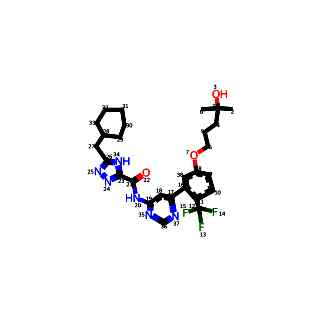 CC(C)(O)CCCOc1ccc(C(F)(F)F)c(-c2cc(NC(=O)c3nnc(CC4CCCCC4)[nH]3)ncn2)c1